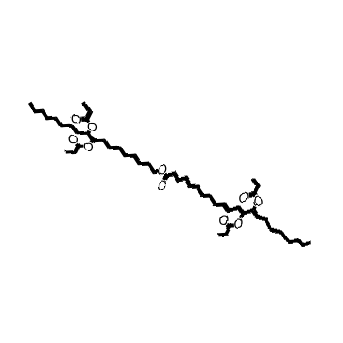 CCCCCCCCC(OC(=O)CC)C(CCCCCCCCCCCC(=O)OCCCCCCCCC(OC(=O)CC)C(CCCCCCCC)OC(=O)CC)OC(=O)CC